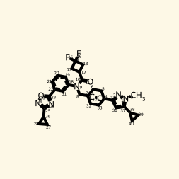 Cn1nc(C23CCC(CN(C(=O)C4CC(F)(F)C4)c4cccc(-c5nc(C6CC6)no5)c4)(CC2)CC3)cc1C1CC1